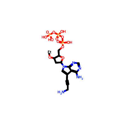 CCOC1CC(n2cc(C#CCN)c3c(N)ncnc32)OC1COP(=O)(O)OP(=O)(O)OP(=O)(O)O